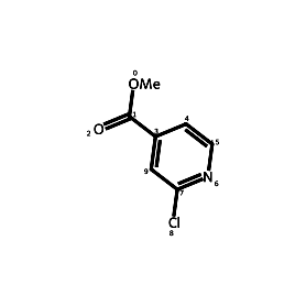 COC(=O)c1c[c]nc(Cl)c1